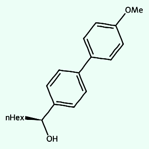 CCCCCC[C@H](O)c1ccc(-c2ccc(OC)cc2)cc1